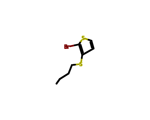 CCCCSc1ccsc1Br